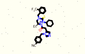 CC[C@@H](CN(Cc1ccccc1C(F)(F)F)C(=S)NC1CCCCC1)NC(=O)Cc1cncn1Cc1ccc(C#N)cc1